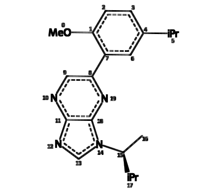 COc1ccc(C(C)C)cc1-c1cnc2ncn([C@@H](C)C(C)C)c2n1